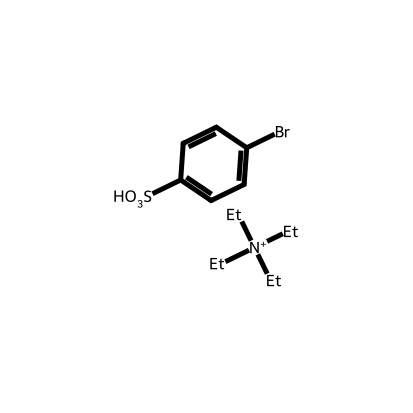 CC[N+](CC)(CC)CC.O=S(=O)(O)c1ccc(Br)cc1